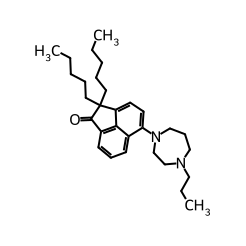 CCCCCC1(CCCCC)C(=O)c2cccc3c(N4CCCN(CCC)CC4)ccc1c23